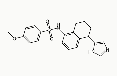 COc1ccc(S(=O)(=O)Nc2cccc3c2CCCC3c2cnc[nH]2)cc1